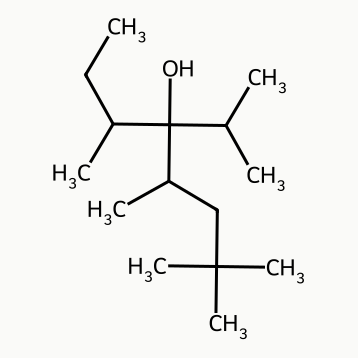 CCC(C)C(O)(C(C)C)C(C)CC(C)(C)C